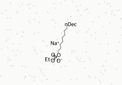 CCCCCCCCCCCCCCCCCCOP(=O)([O-])OCC.[Na+]